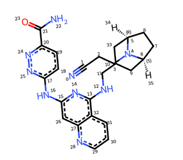 N#CCCN1[C@@H]2CC[C@H]1CC(CNc1nc(Nc3ccc(C(N)=O)nn3)cc3ncccc13)C2